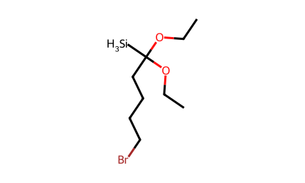 CCOC([SiH3])(CCCCBr)OCC